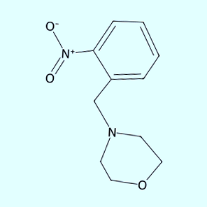 O=[N+]([O-])c1ccccc1CN1CCOCC1